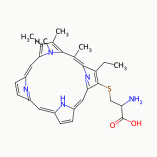 CCC1=C(SCC(N)C(=O)O)c2cc3ccc(cc4nc(cc5c(C)c(C)c(c(C)c1n2)n5C)C=C4)[nH]3